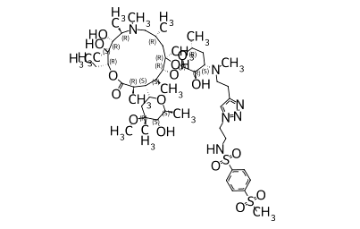 CC[C@H]1OC(=O)[C@H](C)[C@@H](C2C[C@@](C)(OC)[C@@H](O)[C@H](C)O2)[C@H](C)[C@@H](O[C@@H]2O[C@H](C)C[C@H](N(C)CCc3cn(CCNS(=O)(=O)c4ccc(S(C)(=O)=O)cc4)nn3)[C@H]2O)[C@](C)(O)C[C@@H](C)CN(C)[C@H](C)[C@@H](O)[C@]1(C)O